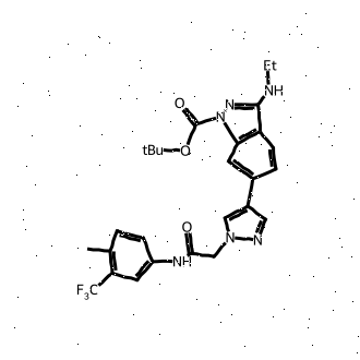 CCNc1nn(C(=O)OC(C)(C)C)c2cc(-c3cnn(CC(=O)Nc4ccc(C)c(C(F)(F)F)c4)c3)ccc12